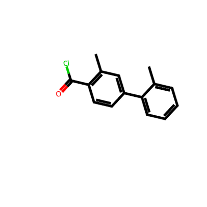 Cc1cc(-c2ccccc2C)ccc1C(=O)Cl